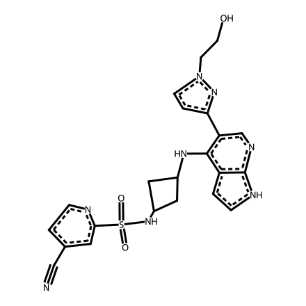 N#Cc1ccnc(S(=O)(=O)NC2CC(Nc3c(-c4ccn(CCO)n4)cnc4[nH]ccc34)C2)c1